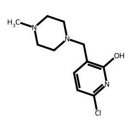 CN1CCN(Cc2ccc(Cl)nc2O)CC1